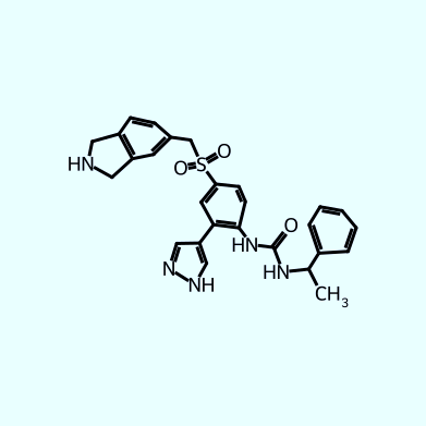 CC(NC(=O)Nc1ccc(S(=O)(=O)Cc2ccc3c(c2)CNC3)cc1-c1cn[nH]c1)c1ccccc1